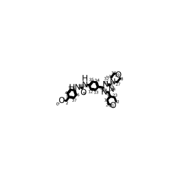 COCc1ccc(NC(=O)Nc2ccc(-c3nc(C4CCOCC4)nc(N4CCOC[C@H]4C)n3)cc2)cc1